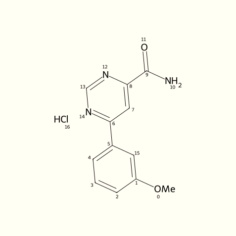 COc1cccc(-c2cc(C(N)=O)ncn2)c1.Cl